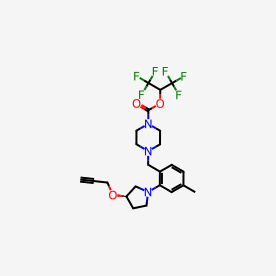 C#CCO[C@@H]1CCN(c2cc(C)ccc2CN2CCN(C(=O)OC(C(F)(F)F)C(F)(F)F)CC2)C1